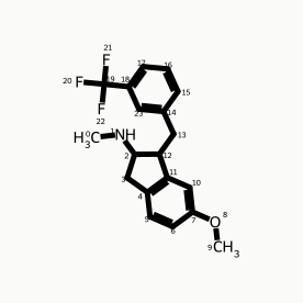 CNC1Cc2ccc(OC)cc2C1Cc1cccc(C(F)(F)F)c1